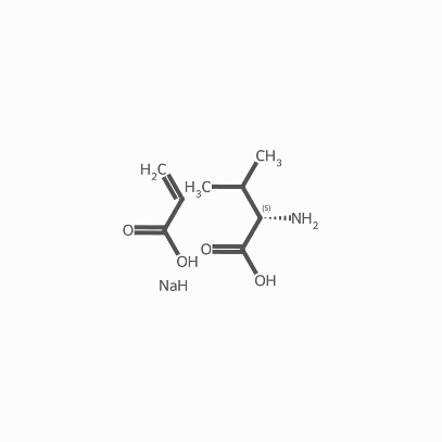 C=CC(=O)O.CC(C)[C@H](N)C(=O)O.[NaH]